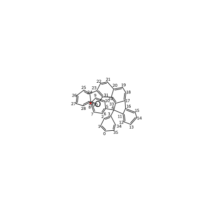 c1ccc(C2(c3ccccc3)c3ccccc3-c3ccc4ccc5c6ccccc6oc5c4c32)cc1